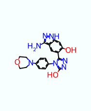 Nc1n[nH]c2cc(O)c(-c3nnc(O)n3-c3ccc(N4CCOCC4)cc3)cc12